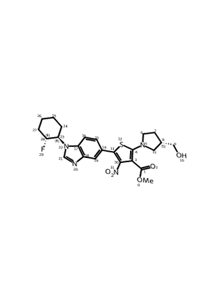 COC(=O)c1c(N2CC[C@H](CO)C2)sc(-c2ccc3c(c2)ncn3[C@@H]2CCCC[C@H]2F)c1[N+](=O)[O-]